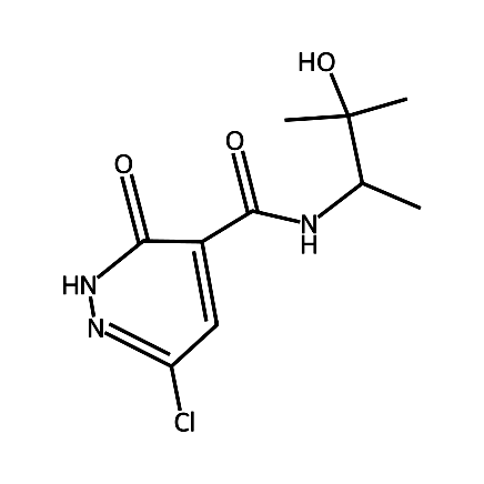 CC(NC(=O)c1cc(Cl)n[nH]c1=O)C(C)(C)O